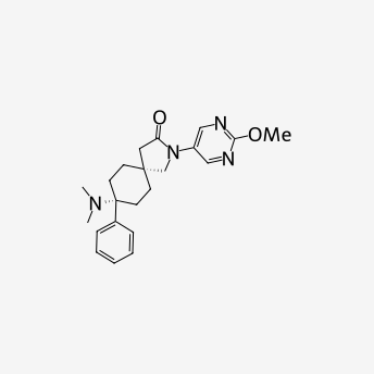 COc1ncc(N2C[C@]3(CC[C@@](c4ccccc4)(N(C)C)CC3)CC2=O)cn1